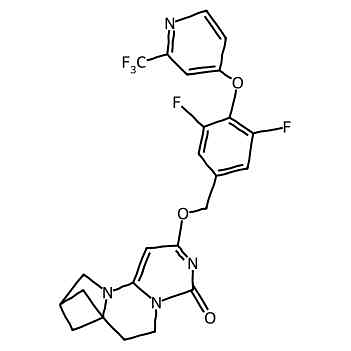 O=c1nc(OCc2cc(F)c(Oc3ccnc(C(F)(F)F)c3)c(F)c2)cc2n1CCC13CC(CN21)C3